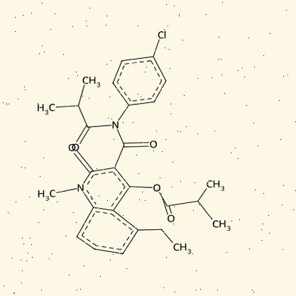 CCc1cccc2c1c(OC(=O)C(C)C)c(C(=O)N(C(=O)C(C)C)c1ccc(Cl)cc1)c(=O)n2C